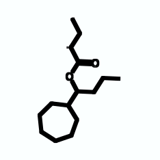 CC[CH]C(=O)OC(CCC)C1CCCCCC1